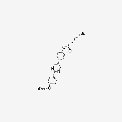 CCCCCCCCCCOc1ccc(-c2ncc(-c3ccc(OC(=O)CCCCC(C)CC)cc3)cn2)cc1